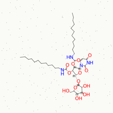 CCCCCCCCCCCCNC(=O)OC1[C@@H](CO[C@@H]2OC(CO)[C@@H](O)[C@H](O)C2O)O[C@@H](n2ccc(=O)[nH]c2=O)[C@H]1OC(=O)NCCCCCCCCCCCC